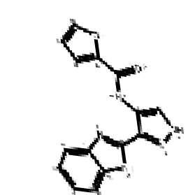 O=C(Nc1c[nH]nc1-c1nc2ccccc2[nH]1)c1ccco1